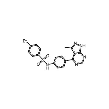 CCc1ccc(S(=O)(=O)Nc2ccc(-c3ncnc4[nH]nc(C)c34)cc2)cc1